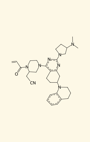 C=CC(=O)N1CCN(c2nc(N3CCC(N(C)C)C3)nc3c2CCC(N2CCCc4ccccc42)C3)CC1CC#N